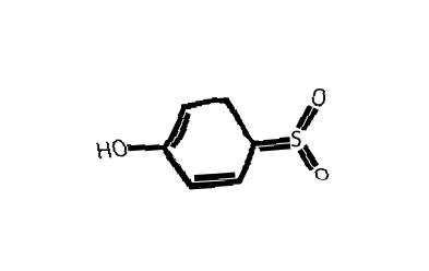 O=S(=O)=C1C=CC(O)=CC1